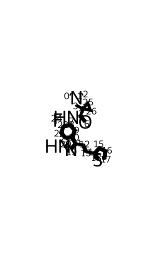 CN(C)CC1(C(=O)Nc2cc3c(/C=C/c4cccs4)n[nH]c3cc2F)CC1